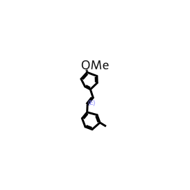 COc1ccc(/C=C/c2cccc(C)c2)cc1